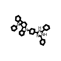 C1=CC2C(c3ccccc3N2c2ccc(C3N=C(c4ccccc4)NC(c4ccccc4)N3)cc2)c2c1c1ccccc1n2-c1ccccc1